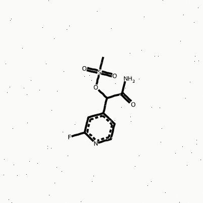 CS(=O)(=O)OC(C(N)=O)c1ccnc(F)c1